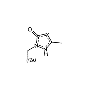 CCCCCn1[nH]c(C)[c]c1=O